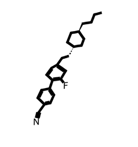 CCCC[C@H]1CC[C@H](CCc2ccc(-c3ccc(C#N)cc3)c(F)c2)CC1